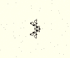 COCN(COC)c1ncnc(N(COC)COC)n1